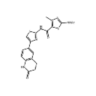 CC(=O)Nc1nc(C)c(C(=O)Nc2nc(-c3ccc4c(c3)CCC(=O)N4)cs2)s1